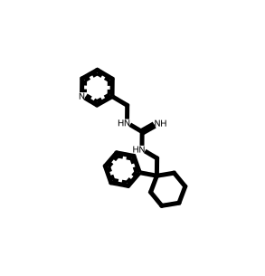 N=C(NCc1cccnc1)NCC1(c2ccccc2)CCCCC1